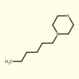 CCCCCCN1C[CH]SCC1